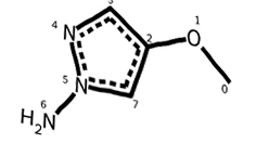 COc1cnn(N)c1